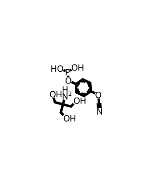 N#COc1ccc(OP(O)O)cc1.NC(CO)(CO)CO